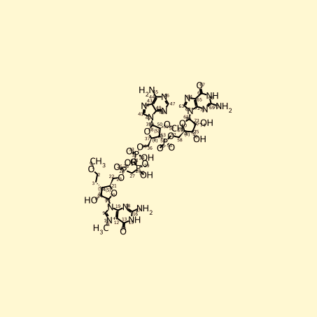 COCC[C@H]1[C@@H](O)[C@H](n2c[n+](C)c3c(=O)[nH]c(N)nc32)O[C@@H]1COP(=O)(O)CP(=O)(O)OP(=O)(O)OC[C@H]1O[C@@H](n2cnc3c(N)ncnc32)[C@H](OC)[C@@H]1P(=O)([O-])OC[C@H]1O[C@@H](n2cnc3c(=O)[nH]c(N)nc32)[C@H](O)[C@@H]1O